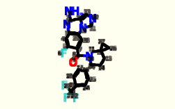 Nc1nc2cc(F)c(C(=O)N3CC4(CC[C@@H]3c3ccc(C(F)(F)F)cc3)CC4)cc2n2cncc12